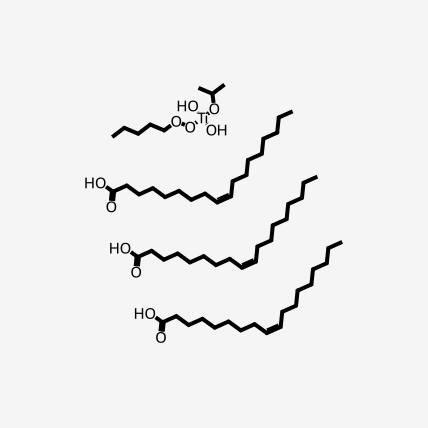 CCCCCCCC/C=C\CCCCCCCC(=O)O.CCCCCCCC/C=C\CCCCCCCC(=O)O.CCCCCCCC/C=C\CCCCCCCC(=O)O.CCCCCO[O][Ti]([OH])([OH])[O]C(C)C